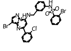 O=S(=O)(Nc1cccc(CNc2cc(-c3ccccc3Cl)nc3c(Br)cnn23)c1)c1ccccc1Br